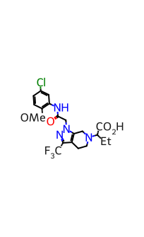 CCC(C(=O)O)N1CCc2c(C(F)(F)F)nn(CC(=O)Nc3cc(Cl)ccc3OC)c2C1